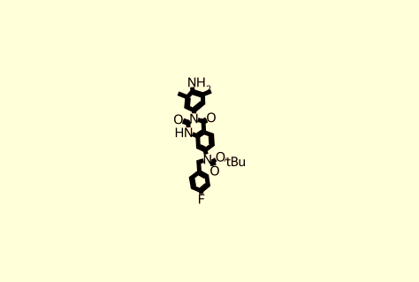 Cc1cc(-n2c(=O)[nH]c3cc(N(Cc4ccc(F)cc4)C(=O)OC(C)(C)C)ccc3c2=O)cc(C)c1N